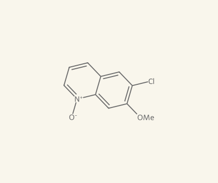 COc1cc2c(ccc[n+]2[O-])cc1Cl